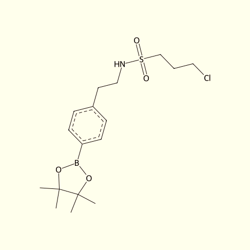 CC1(C)OB(c2ccc(CCNS(=O)(=O)CCCCl)cc2)OC1(C)C